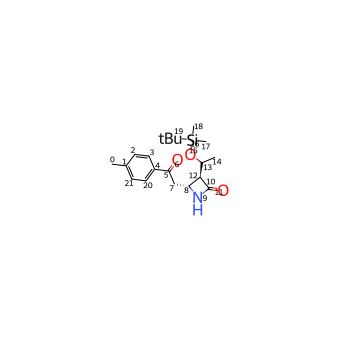 Cc1ccc(C(=O)C[C@H]2NC(=O)[C@@H]2C(C)O[Si](C)(C)C(C)(C)C)cc1